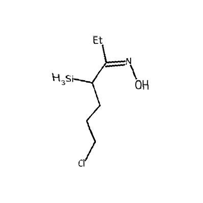 CCC(=NO)C([SiH3])CCCCl